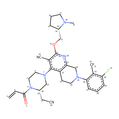 C=CC(=O)N1CCN(c2c(C#N)c(OC[C@@H]3CCCN3C)nc3c2CCN(c2cccc(F)c2C(F)(F)F)C3)C[C@@H]1CC#N